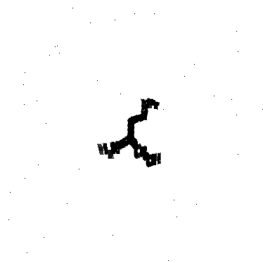 CCCCC[CH](N)[Co][OH]